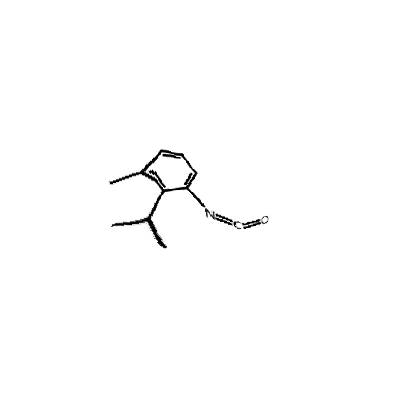 Cc1cccc(N=C=O)c1C(C)C